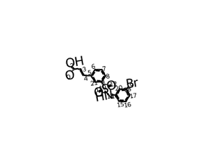 O=C(O)C=Cc1cccc(S(=O)(=O)Nc2cccc(Br)c2)c1